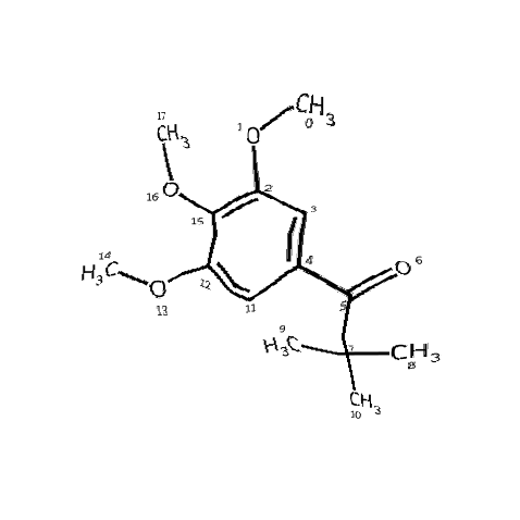 COc1cc(C(=O)C(C)(C)C)cc(OC)c1OC